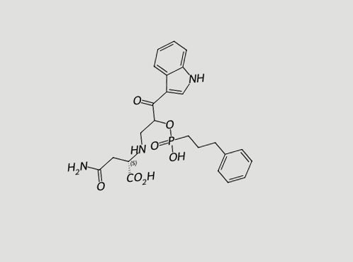 NC(=O)C[C@H](NCC(OP(=O)(O)CCCc1ccccc1)C(=O)c1c[nH]c2ccccc12)C(=O)O